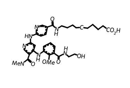 CNC(=O)c1cnc(Nc2ccc(C(=O)NCCCCCCCCCC(=O)O)cn2)cc1Nc1cccc(C(=O)NCCO)c1OC